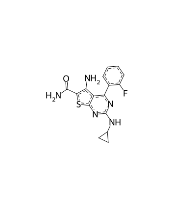 NC(=O)c1sc2nc(NC3CC3)nc(-c3ccccc3F)c2c1N